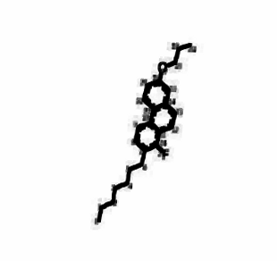 CCCCCCCc1ccc2c(ccc3cc(OCCC)ccc32)c1F